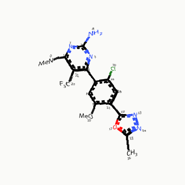 CNc1nc(N)nc(-c2cc(OC)c(-c3nnc(C)o3)cc2Cl)c1C(F)(F)F